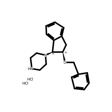 Cl.Cl.c1ccc(CO[C@@H]2Cc3ccccc3[C@@H]2N2CCNCC2)cc1